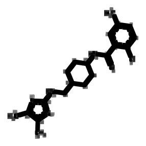 Cc1ccc(Cl)c(C(=O)NC2CCC(CNc3nc(C)c(C)s3)CC2)c1